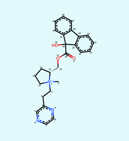 C[N+]1(CCc2cnccn2)CCC[C@@H]1COC(=O)C1(O)c2ccccc2-c2ccccc21